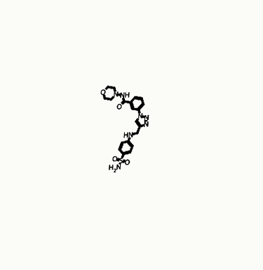 NS(=O)(=O)c1ccc(NCc2cn(-c3cccc(C(=O)NN4CCOCC4)c3)nn2)cc1